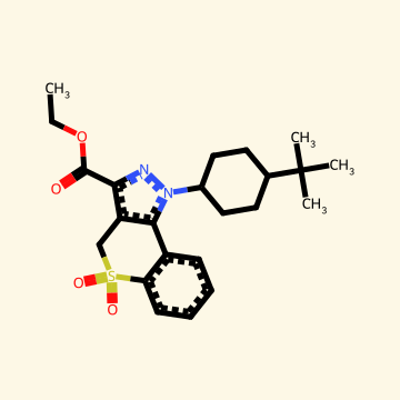 CCOC(=O)c1nn(C2CCC(C(C)(C)C)CC2)c2c1CS(=O)(=O)c1ccccc1-2